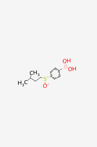 CC(C)CC[S+]([O-])c1ccc(B(O)O)cc1